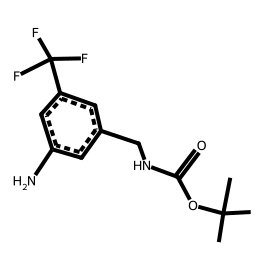 CC(C)(C)OC(=O)NCc1cc(N)cc(C(F)(F)F)c1